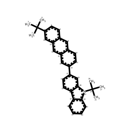 CC(C)(C)c1ccc2cc3ccc(-c4ccc5c6ccccc6n(C(C)(C)C)c5c4)cc3cc2c1